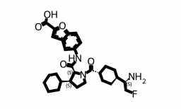 N[C@H](CF)[C@H]1CC[C@H](C(=O)N2CC[C@@H](C3CCCCC3)[C@H]2C(=O)Nc2ccc3oc(C(=O)O)cc3c2)CC1